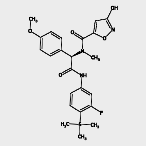 COc1ccc([C@H](C(=O)Nc2ccc(S(C)(C)C)c(F)c2)N(C)C(=O)c2cc(O)no2)cc1